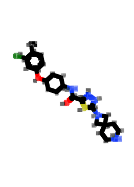 N#Cc1ccc(OC2CCC(NC(=O)c3nnc(N4CC5(CCNCC5)C4)s3)CC2)cc1Cl